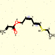 C=CC(=O)OC/C=C\C=C\SCC